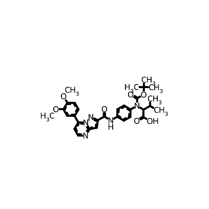 COc1ccc(-c2ccnc3cc(C(=O)Nc4ccc(N(C(=O)OC(C)(C)C)C(C(=O)O)C(C)C)cc4)nn23)cc1OC